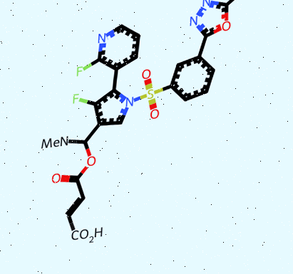 CNC(OC(=O)/C=C/C(=O)O)c1cn(S(=O)(=O)c2cccc(-c3nnc(C)o3)c2)c(-c2cccnc2F)c1F